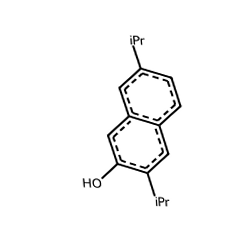 CC(C)c1ccc2cc(C(C)C)c(O)cc2c1